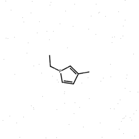 CCp1ccc(C)c1